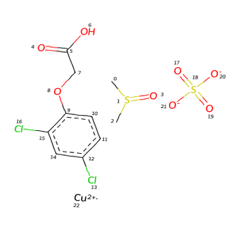 CS(C)=O.O=C(O)COc1ccc(Cl)cc1Cl.O=S(=O)([O-])[O-].[Cu+2]